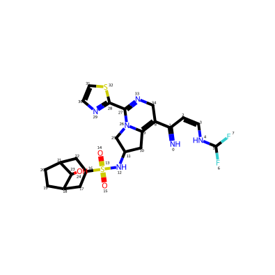 N=C(/C=C\NC(F)F)C1=C2CC(NS(=O)(=O)C3CC4CCC(C3)C4O)CN2C(c2nccs2)=NC1